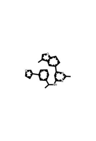 Cc1nc(NC(C)c2cccc(-c3ccoc3)c2)cc(-c2ccc3occ(C)c3c2)n1